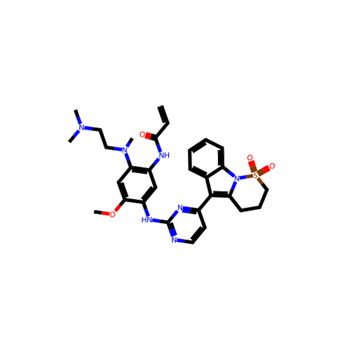 C=CC(=O)Nc1cc(Nc2nccc(-c3c4n(c5ccccc35)S(=O)(=O)CCC4)n2)c(OC)cc1N(C)CCN(C)C